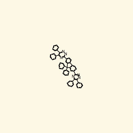 c1ccc(-c2nnc(-c3ccc4c(c3)C(c3ccccc3)(c3ccccc3)c3cc(-c5nnc(-c6ccccc6)c(-c6ccccc6)n5)ccc3-4)nc2-c2ccccc2)cc1